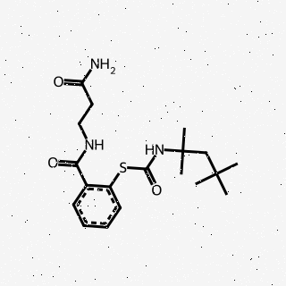 CC(C)(C)CC(C)(C)NC(=O)Sc1ccccc1C(=O)NCCC(N)=O